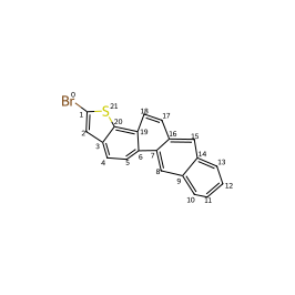 Brc1cc2ccc3c4cc5ccccc5cc4ccc3c2s1